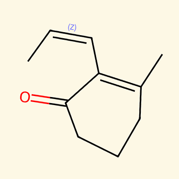 C/C=C\C1=C(C)CCCC1=O